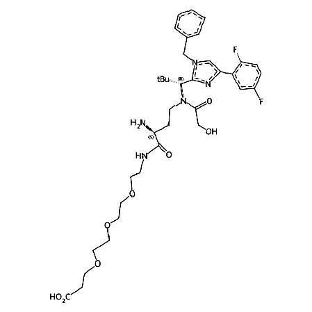 CC(C)(C)[C@H](c1nc(-c2cc(F)ccc2F)cn1Cc1ccccc1)N(CC[C@H](N)C(=O)NCCOCCOCCOCCC(=O)O)C(=O)CO